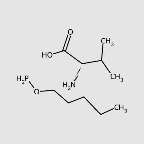 CC(C)[C@H](N)C(=O)O.CCCCCOP